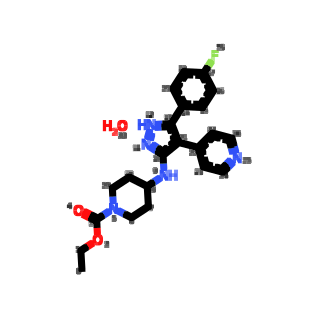 CCOC(=O)N1CCC(Nc2n[nH]c(-c3ccc(F)cc3)c2-c2ccncc2)CC1.O